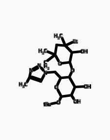 CCC1(C)CC(C)(C)OC(OC2C(Cn3cc(C)nn3)OC(OC(C)(C)C)C(O)C2O)C1O